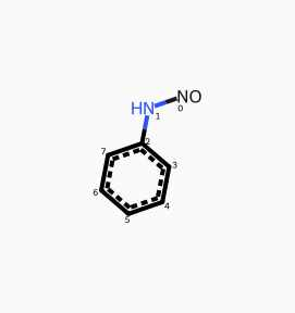 O=NNc1ccccc1